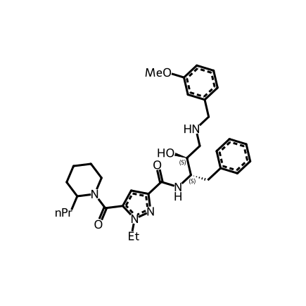 CCCC1CCCCN1C(=O)c1cc(C(=O)N[C@@H](Cc2ccccc2)[C@@H](O)CNCc2cccc(OC)c2)nn1CC